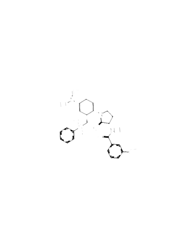 CCN(C(C)C)[C@@H]1CC[C@H](N2CC[C@H](NC(=O)c3cccc(C(F)(F)F)c3)C2=O)[C@@H](CS(=O)(=O)c2ccccc2)C1